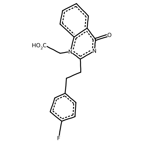 O=C(O)Cn1c(CCc2ccc(F)cc2)nc(=O)c2ccccc21